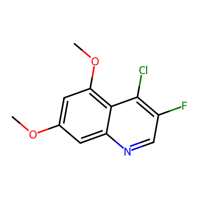 COc1cc(OC)c2c(Cl)c(F)cnc2c1